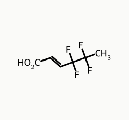 CC(F)(F)C(F)(F)C=CC(=O)O